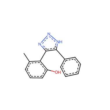 Cc1cccc(O)c1-c1nn[nH]c1-c1ccccc1